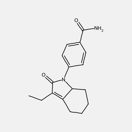 CCC1=C2CCCCC2N(c2ccc(C(N)=O)cc2)C1=O